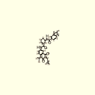 Cc1nc2ccc(C(=O)N[C@@H]3CCCN(C(=O)Nc4ccc5c(c4)c(=O)n(CC4CC4)c(=O)n5C(C)C)C3)cc2s1